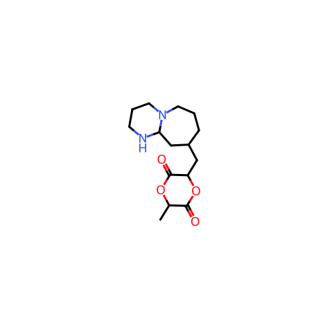 CC1OC(=O)C(CC2CCCN3CCCNC3C2)OC1=O